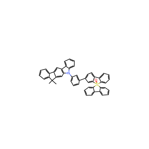 CC1(C)c2ccccc2-c2cc3c4ccccc4n(-c4cccc(-c5ccc6c(c5)S5(=O)(c7ccccc7-c7ccccc75)c5ccccc5-6)c4)c3cc21